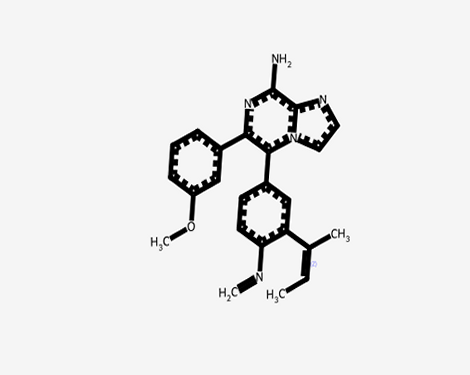 C=Nc1ccc(-c2c(-c3cccc(OC)c3)nc(N)c3nccn23)cc1/C(C)=C\C